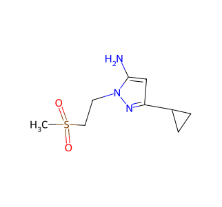 CS(=O)(=O)CCn1nc(C2CC2)cc1N